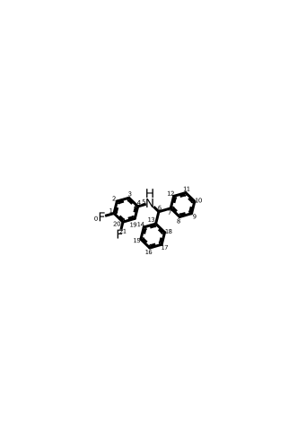 Fc1ccc(NC(c2ccccc2)c2ccccc2)cc1F